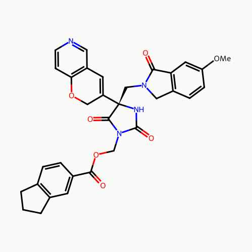 COc1ccc2c(c1)C(=O)N(C[C@@]1(C3=Cc4cnccc4OC3)NC(=O)N(COC(=O)c3ccc4c(c3)CCC4)C1=O)C2